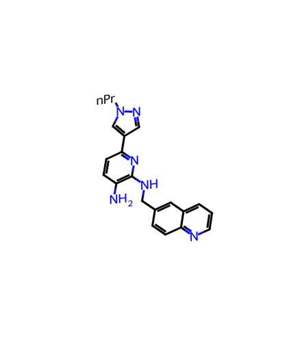 CCCn1cc(-c2ccc(N)c(NCc3ccc4ncccc4c3)n2)cn1